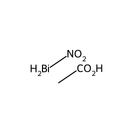 CC(=O)O.O=[N+]([O-])[BiH2]